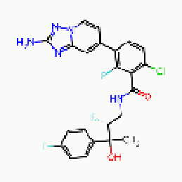 C[C@@](O)(c1ccc(F)cc1)[C@H](F)CNC(=O)c1c(Cl)ccc(-c2ccn3nc(N)nc3c2)c1F